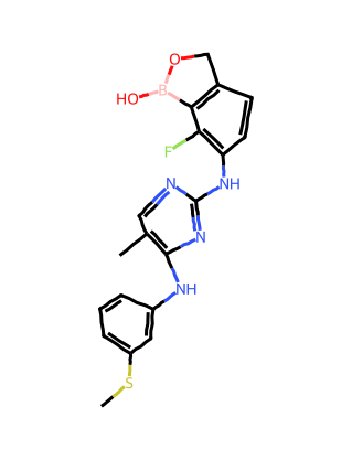 CSc1cccc(Nc2nc(Nc3ccc4c(c3F)B(O)OC4)ncc2C)c1